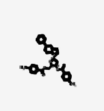 Cc1ccc(C(=O)OC[C@H]2O[C@@H](n3ccc4cc(-c5ccccc5)ccc43)C[C@@H]2OC(=O)c2ccc(C)cc2)cc1